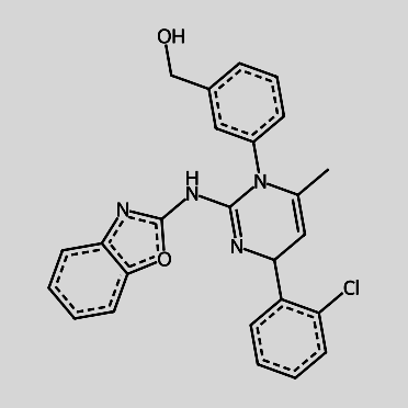 CC1=CC(c2ccccc2Cl)N=C(Nc2nc3ccccc3o2)N1c1cccc(CO)c1